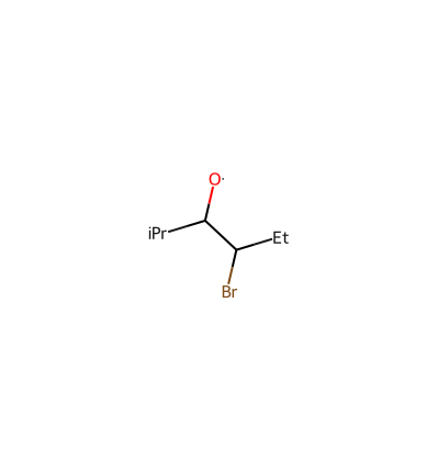 CCC(Br)C([O])C(C)C